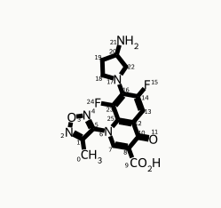 Cc1nonc1-n1cc(C(=O)O)c(=O)c2cc(F)c(N3CCC(N)C3)c(F)c21